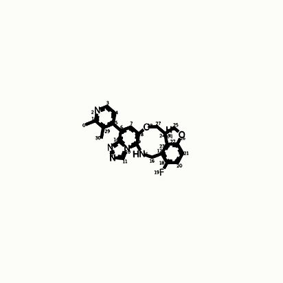 Cc1nccc(-c2cc3c(n4cnnc24)NCc2c(F)ccc4c2[C@H](CO4)CO3)c1C